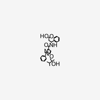 CC(C)C(C)(O)COc1cc(C(=O)NC(CC(=O)O)c2ccccc2)nn1-c1ccccc1